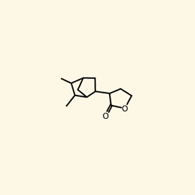 CC1C2CC(C3CCOC3=O)C(C2)C1C